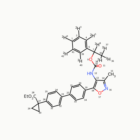 [2H]c1c([2H])c([2H])c(C([2H])(OC(=O)Nc2c(C)noc2-c2ccc(-c3ccc(C4(C(=O)OCC)CC4)cc3)cc2)C([2H])([2H])[2H])c([2H])c1[2H]